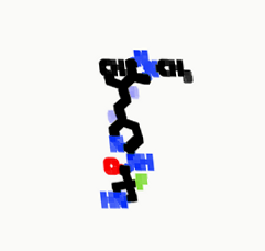 C=C/C(=C\C=C1\C=NC(NC(=O)C2(F)CNC2)=CC1)c1cnn(C)c1